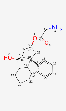 NCC(=O)O[C@@H]1C[C@H](CO)[C@@](c2ccccc2)(C2CCCCC2)C1